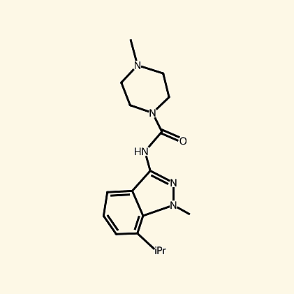 CC(C)c1cccc2c(NC(=O)N3CCN(C)CC3)nn(C)c12